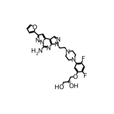 Nc1nc2c(cnn2CCN2CCN(c3cc(OC[C@H](O)CO)c(F)cc3F)CC2)c2cc(-c3ccco3)nn12